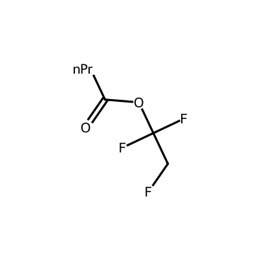 CCCC(=O)OC(F)(F)CF